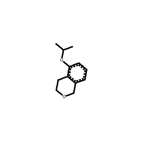 CC(C)Oc1cccc2c1CCOC2